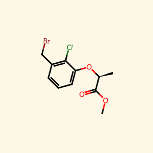 COC(=O)[C@H](C)Oc1cccc(CBr)c1Cl